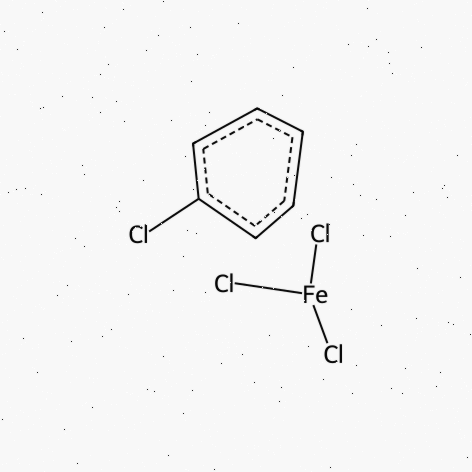 Clc1ccccc1.[Cl][Fe]([Cl])[Cl]